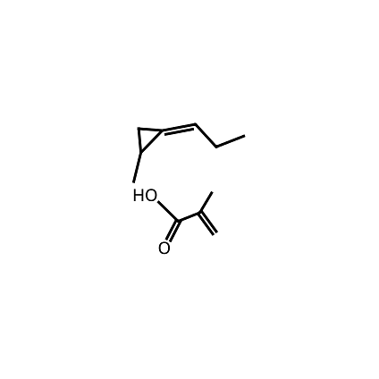 C=C(C)C(=O)O.CCC=C1CC1C